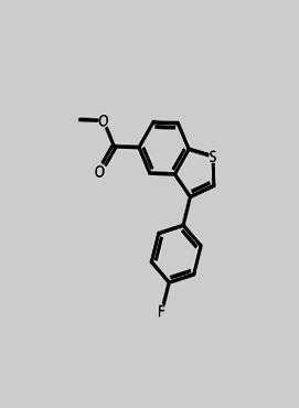 COC(=O)c1ccc2scc(-c3ccc(F)cc3)c2c1